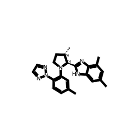 Cc1c[c]c(-n2nccn2)c(N2CC[C@H](C)[C@H]2c2nc3c(C)cc(C)cc3[nH]2)c1